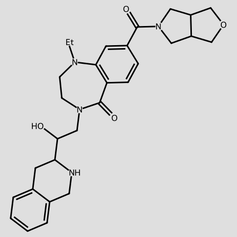 CCN1CCN(CC(O)C2Cc3ccccc3CN2)C(=O)c2ccc(C(=O)N3CC4COCC4C3)cc21